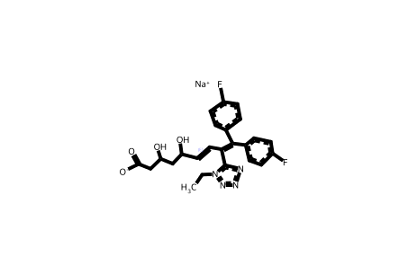 CCn1nnnc1C(/C=C/C(O)CC(O)CC(=O)[O-])=C(c1ccc(F)cc1)c1ccc(F)cc1.[Na+]